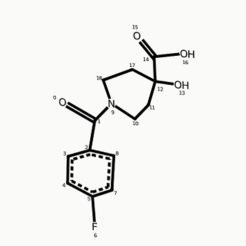 O=C(c1ccc(F)cc1)N1CCC(O)(C(=O)O)CC1